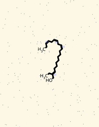 CC/C=C\C/C=C\C/C=C\CCCCCCC/C=C(\CC)CO